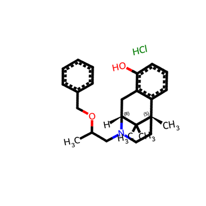 CC(CN1CC[C@@]2(C)c3cccc(O)c3C[C@@H]1C2(C)C)OCc1ccccc1.Cl